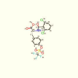 COC(=O)[C@@H](Cc1ccc(OS(=O)(=O)C(F)(F)F)cc1)NC(=O)c1c(Cl)cccc1Cl